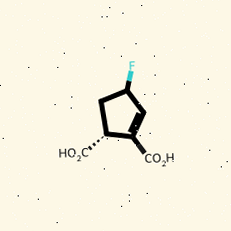 O=C(O)C1=CC(F)C[C@H]1C(=O)O